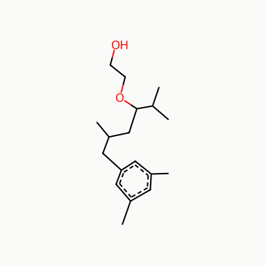 Cc1cc(C)cc(CC(C)CC(OCCO)C(C)C)c1